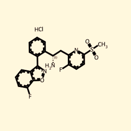 CS(=O)(=O)c1ccc(F)c(C[C@H](N)c2ccccc2-c2noc3c(F)cccc23)n1.Cl